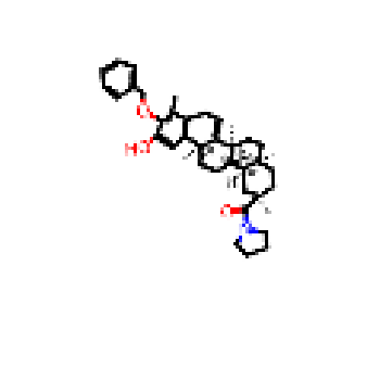 Cc1c2c(cc(O)c1OCc1ccccc1)[C@]1(C)CC[C@@]3(C)[C@@H]4C[C@](C)(C(=O)N5CCCC5)CC[C@]4(C)CC[C@]3(C)C1=CC2